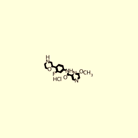 COc1cncc(C(=O)Nc2ccc(C3CNCCO3)c(F)c2)n1.Cl